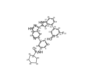 O=C(Nc1cncc(-c2cc3c(-c4cc5c(-c6cc(O)cc(F)c6)cccc5[nH]4)n[nH]c3cn2)c1)C1CCCCC1